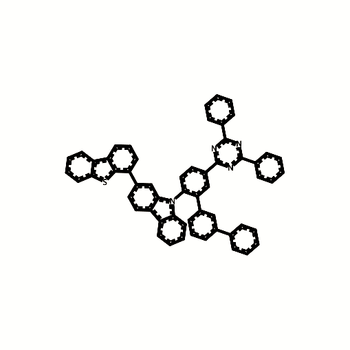 c1ccc(-c2cccc(-c3cc(-c4nc(-c5ccccc5)nc(-c5ccccc5)n4)ccc3-n3c4ccccc4c4ccc(-c5cccc6c5sc5ccccc56)cc43)c2)cc1